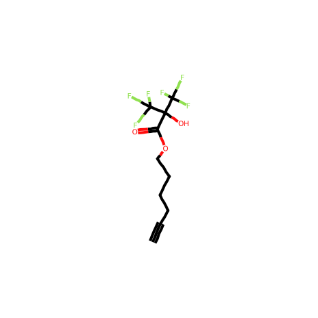 C#CCCCCOC(=O)C(O)(C(F)(F)F)C(F)(F)F